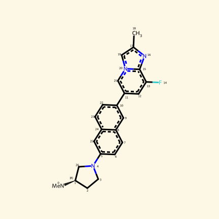 CN[C@@H]1CCN(c2ccc3cc(-c4cc(F)c5nc(C)cn5c4)ccc3c2)C1